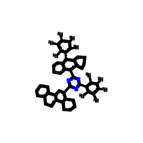 [2H]c1c([2H])c([2H])c(-c2nc(-c3c4ccccc4c(-c4c([2H])c([2H])c([2H])c([2H])c4[2H])c4ccccc34)nc(-c3cc4c5ccccc5ccc4c4ccccc34)n2)c([2H])c1[2H]